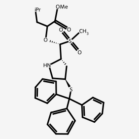 COC(=O)C(CC(C)C)O[C@@H]([C@@H]1C[C@@H](SC(c2ccccc2)(c2ccccc2)c2ccccc2)CN1)S(C)(=O)=O